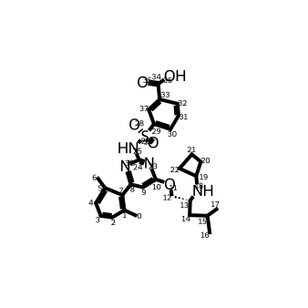 Cc1cccc(C)c1-c1cc(OC[C@@H](CC(C)C)NC2CCC2)nc(NS(=O)(=O)c2cccc(C(=O)O)c2)n1